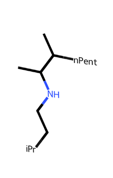 CCCCCC(C)C(C)NCCC(C)C